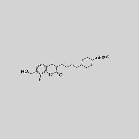 CCCCCC1CCC(CCCCC2Cc3ccc(CO)c(F)c3OC2=O)CC1